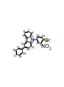 O=[N+]([O-])c1cc(-n2c3ccccc3c3cc(-c4ccccc4)ccc32)ccc1Br